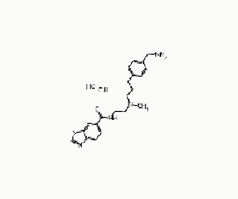 CN(CCCc1ccc(CN)cc1)CCNC(=O)c1ccc2ncsc2c1.Cl.Cl